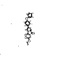 CCOC(=O)CN1C(=O)C2C=C(c3ccc(Oc4ccccc4)cc3)SC2C1=O